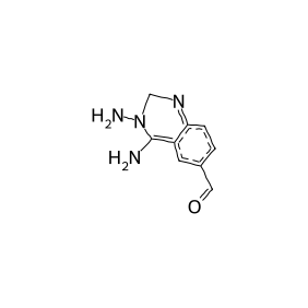 NC1=c2cc(C=O)ccc2=NCN1N